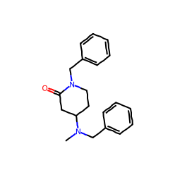 CN(Cc1ccccc1)C1CCN(Cc2ccccc2)C(=O)C1